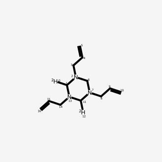 [2H]C1N(CC=C)CN(CC=C)C([2H])N1CC=C